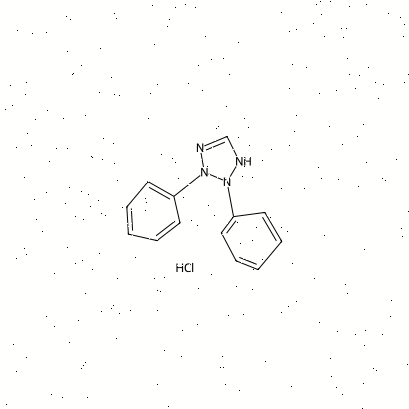 C1=NN(c2ccccc2)N(c2ccccc2)N1.Cl